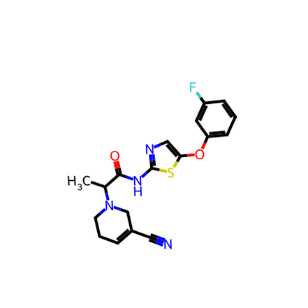 CC(C(=O)Nc1ncc(Oc2cccc(F)c2)s1)N1CCC=C(C#N)C1